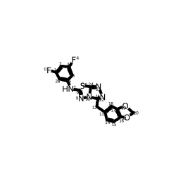 Fc1cc(F)cc(Nc2nn3c(Cc4ccc5c(c4)OCO5)nnc3s2)c1